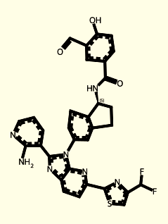 Nc1ncccc1-c1nc2ccc(-c3nc(C(F)F)cs3)nc2n1-c1ccc2c(c1)CC[C@@H]2NC(=O)c1ccc(O)c(C=O)c1